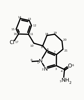 Cn1nc(C(N)=O)c2c1C(Cc1ccccc1Cl)CCCC2